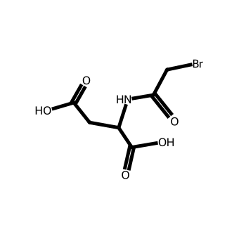 O=C(O)CC(NC(=O)CBr)C(=O)O